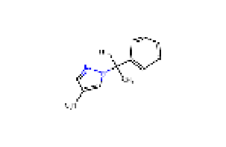 CC(C)(c1ccccc1)n1cc([N+](=O)[O-])cn1